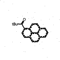 CC(C)(C)C(=O)c1ccc2ccc3cccc4ccc1c2c34